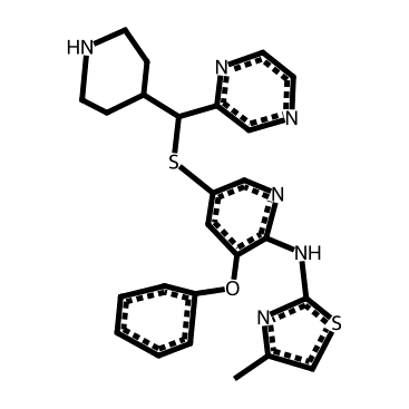 Cc1csc(Nc2ncc(SC(c3cnccn3)C3CCNCC3)cc2Oc2ccccc2)n1